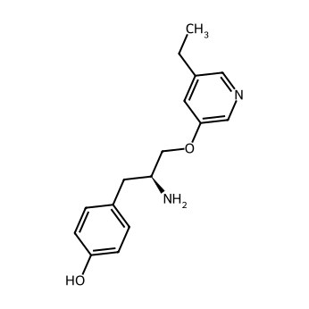 CCc1cncc(OC[C@@H](N)Cc2ccc(O)cc2)c1